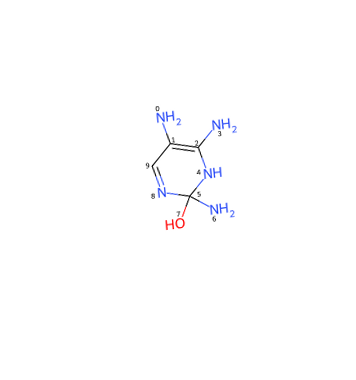 NC1=C(N)NC(N)(O)N=C1